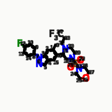 Cc1cc2c(cnn2-c2ccc(F)cc2)cc1[C@@H]1CN(S(=O)(=O)N2CCOCC2)CCN1CCC(F)(F)F